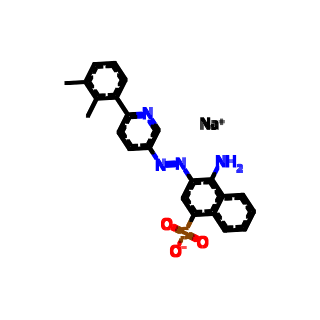 Cc1cccc(-c2ccc(N=Nc3cc(S(=O)(=O)[O-])c4ccccc4c3N)cn2)c1C.[Na+]